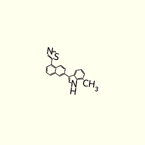 Cc1cccc2c(-c3ccc4c(-c5cncs5)cccc4c3)c[nH]c12